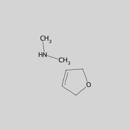 C1=CCOC1.CNC